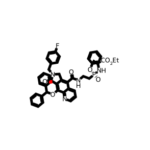 CCOC(=O)[C@H](C)NP(=O)(CCNC(=O)c1c2c(c(OC(c3ccccc3)c3ccccc3)c3ncccc13)C(=O)N(Cc1ccc(F)cc1)C2)Oc1ccccc1